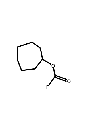 O=C(F)OC1CCCCCC1